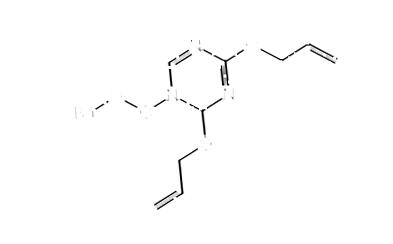 C=CCOC1=NC(OCC=C)N(OOC(C)(C)C)C=N1